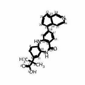 CC(C)(C(=O)O)c1ccc2c(c1)NC(=O)c1ccc(-c3cccc4cnccc34)cc1N2